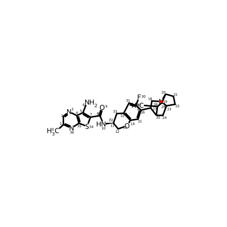 Cc1cnc2c(N)c(C(=O)N[C@@H]3COc4cc(C5CN6C7CCC6CC5C(C)C7)c(F)cc4C3)sc2n1